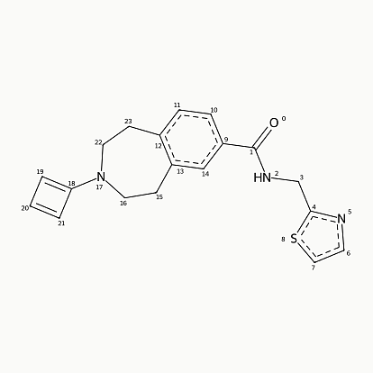 O=C(NCc1nccs1)c1ccc2c(c1)CCN(C1=CC=C1)CC2